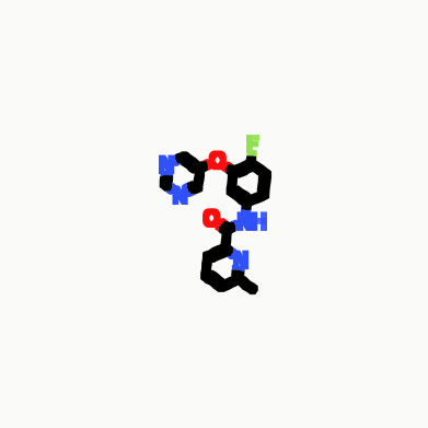 Cc1cccc(C(=O)Nc2ccc(F)c(Oc3cncnc3)c2)n1